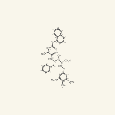 COc1cc(CN[C@@H](C(=O)O)[C@H](O)[C@H](Cc2ccccc2)NC(=O)C(NC(=O)Cc2cccc3ccccc23)C(C)(C)C)cc(OC)c1OC